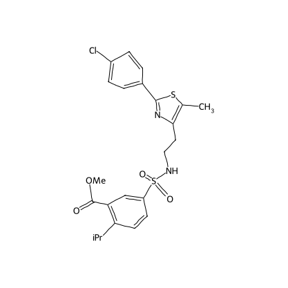 COC(=O)c1cc(S(=O)(=O)NCCc2nc(-c3ccc(Cl)cc3)sc2C)ccc1C(C)C